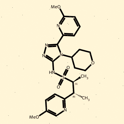 COc1ccc([C@@H](C)[C@H](C)S(=O)(=O)Nc2nnc(-c3cccc(OC)n3)n2C2CCOCC2)nc1